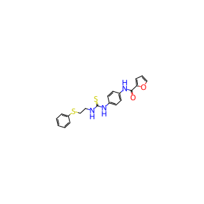 O=C(Nc1ccc(NC(=S)NCCSc2ccccc2)cc1)c1ccco1